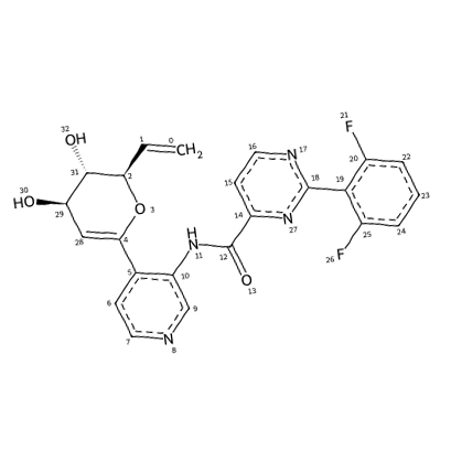 C=C[C@H]1OC(c2ccncc2NC(=O)c2ccnc(-c3c(F)cccc3F)n2)=C[C@@H](O)[C@@H]1O